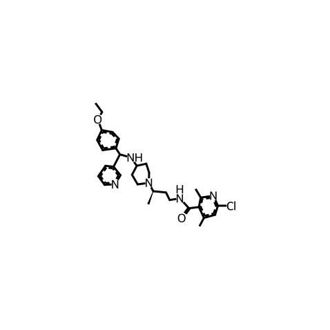 CCOc1ccc(C(NC2CCN([C@H](C)CCNC(=O)c3c(C)cc(Cl)nc3C)CC2)c2cccnc2)cc1